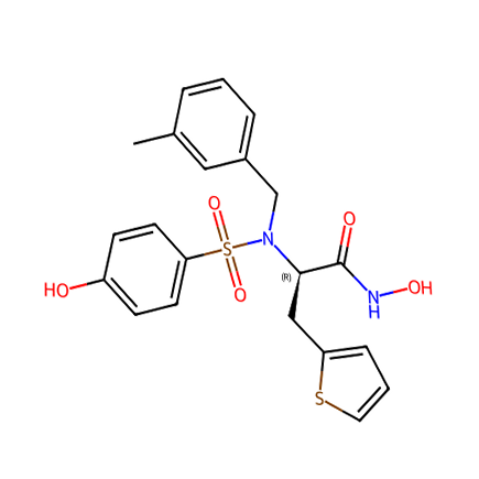 Cc1cccc(CN([C@H](Cc2cccs2)C(=O)NO)S(=O)(=O)c2ccc(O)cc2)c1